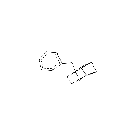 c1ccc(CC23C4C5C6C4C2C6C53)cc1